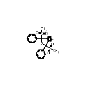 CS(=O)(=O)C(OC(c1ccccc1)(C1CC1)S(C)(=O)=O)(c1ccccc1)C1CC1